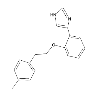 Cc1ccc(CCOc2ccccc2-c2c[nH]cn2)cc1